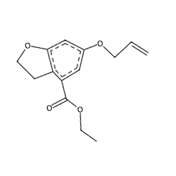 C=CCOc1cc2c(c(C(=O)OCC)c1)CCO2